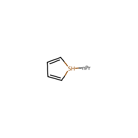 CCC[SH]1C=CC=C1